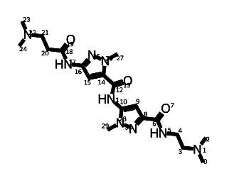 CN(C)CCNC(=O)c1cc(NC(=O)c2cc(NC(=O)CCN(C)C)nn2C)n(C)n1